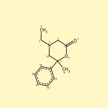 CCN1CC(=O)OC(C)(c2ccccc2)C1